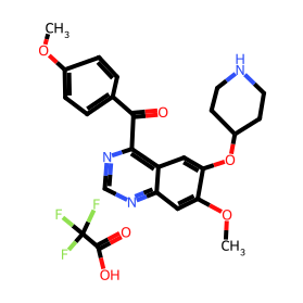 COc1ccc(C(=O)c2ncnc3cc(OC)c(OC4CCNCC4)cc23)cc1.O=C(O)C(F)(F)F